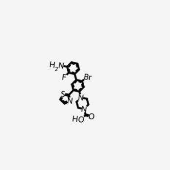 Nc1cccc(-c2cc(-c3nccs3)c(N3CCN(C(=O)O)CC3)cc2Br)c1F